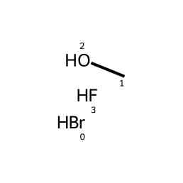 Br.CO.F